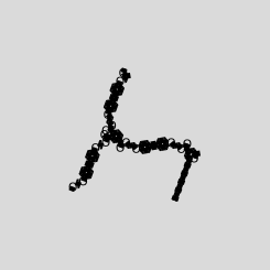 C#CC#CC#CC#CC#C/C=C/C(CC(C)=O)C(=O)OCCOc1ccc(C(C)(C)c2ccc(OCCOC(=O)c3ccc(C(=O)OCCOc4ccc(C(C)(C)c5ccc(OCC(C)OC)cc5)cc4)c(C(=O)OCCOc4ccc(C(C)(C)c5ccc(OCCOC)cc5)cc4)c3)cc2)cc1